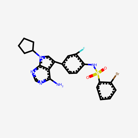 Nc1ncnc2c1c(-c1ccc(NS(=O)(=O)c3ccccc3Br)c(F)c1)cn2C1CCCC1